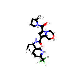 CC[C@@H](NC(=O)c1cc(C(=O)N2CCCC2C)n2c1COCC2)c1ccc(C(F)(F)F)nc1